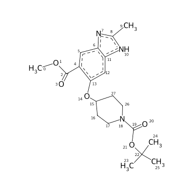 COC(=O)c1cc2nc(C)[nH]c2cc1OC1CCN(C(=O)OC(C)(C)C)CC1